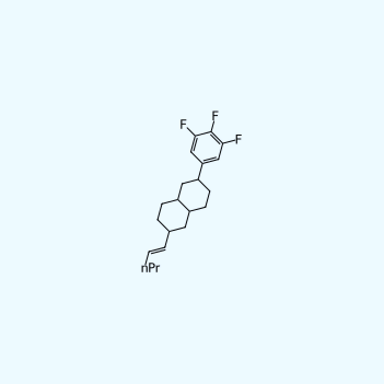 CCCC=CC1CCC2CC(c3cc(F)c(F)c(F)c3)CCC2C1